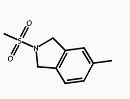 Cc1ccc2c(c1)CN(S(C)(=O)=O)C2